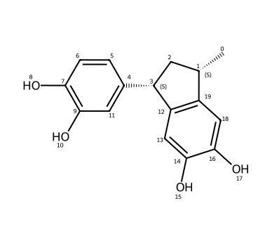 C[C@H]1C[C@@H](c2ccc(O)c(O)c2)c2cc(O)c(O)cc21